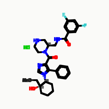 COC[C@]1(O)CCCC[C@H]1n1cnc(C(=O)N2CCNC[C@H]2CNC(=O)c2cc(F)cc(F)c2)c1-c1ccccc1.Cl